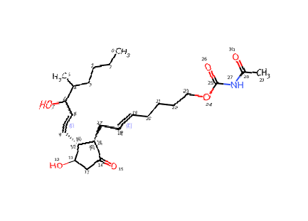 CCCCC(C)C(O)/C=C/[C@H]1C(O)CC(=O)[C@@H]1C/C=C/CCCCOC(=O)NC(C)=O